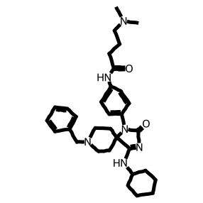 CN(C)CCCC(=O)Nc1ccc(N2C(=O)N=C(NC3CCCCC3)C23CCN(Cc2ccccc2)CC3)cc1